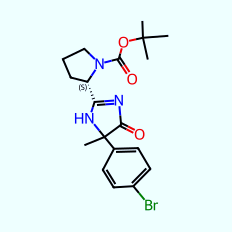 CC(C)(C)OC(=O)N1CCC[C@H]1C1=NC(=O)C(C)(c2ccc(Br)cc2)N1